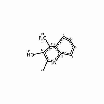 Cc1nc2ccccc2c(C(F)(F)F)c1O